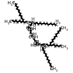 CCCCCCCCCCCCCC(=O)N[C@H](COCCC(CCCCCCC)CCCCCCCCCCCC)COP(=O)(O)OCCNC(=O)NCCOP(=O)(O)OC[C@@H](COCCC(CCCCCCC)CCCCCCCCCCCC)NC(=O)CCCCCCCCCCCCC